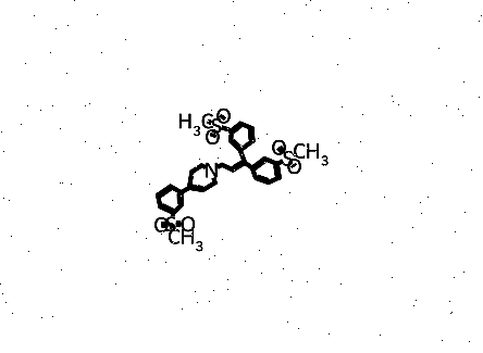 CS(=O)(=O)c1cccc(C2=CCN(CC=C(c3cccc(S(C)(=O)=O)c3)c3cccc(S(C)(=O)=O)c3)CC2)c1